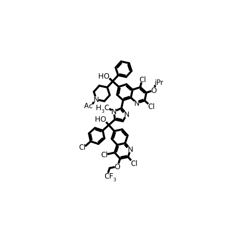 CC(=O)N1CCC(C(O)(c2ccccc2)c2cc(-c3ncc(C(O)(c4ccc(Cl)cc4)c4ccc5nc(Cl)c(OCC(F)(F)F)c(Cl)c5c4)n3C)c3nc(Cl)c(OC(C)C)c(Cl)c3c2)CC1